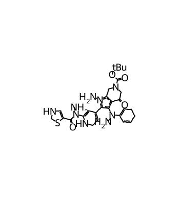 CC(C)(C)OC(=O)N1CC(=O)c2c(N(N)C3=CCCC=C3)c(C3=CCNC(N(N)C(=O)C4=CNCS4)=C3)n(N)c2C1